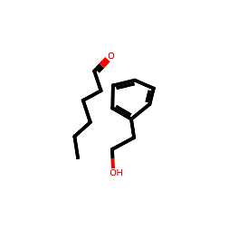 CCCCCC=O.OCCc1ccccc1